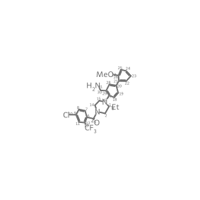 CC[C@@H]1CN(C(=O)c2ccc(Cl)cc2C(F)(F)F)CCN1c1ccc(-c2ccccc2OC)cc1CN